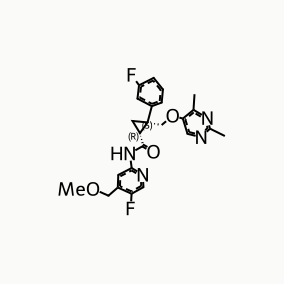 COCc1cc(NC(=O)[C@@H]2C[C@@]2(COc2cnc(C)nc2C)c2cccc(F)c2)ncc1F